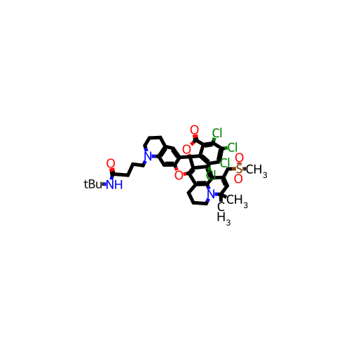 CC(C)(C)NC(=O)CCCN1CCCc2cc3c(cc21)Oc1c(cc2c4c1CCCN4C(C)(C)C=C2CS(C)(=O)=O)C31OC(=O)c2c(Cl)c(Cl)c(Cl)c(Cl)c21